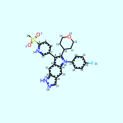 CS(=O)(=O)c1ccc(-c2c(C3CCOCC3)n(-c3ccc(F)cc3)c3cc4cn[nH]c4cc23)cn1